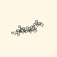 CC1(C)c2ccccc2-c2ccc(N(c3ccccc3)c3ccc4c(c3)[Si](C)(C)c3ccc5c6c(ccc-4c36)-c3ccc(N(c4ccccc4)c4ccc6c(c4)C(C)(C)c4ccccc4-6)cc3[Si]5(C)C)cc21